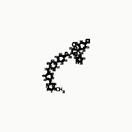 Cc1ccnc(-c2ccc(CN3CCN(c4ccc(OC[C@@H]5CO[C@@](Cn6ccnc6)(c6ccc(Cl)cc6Cl)O5)cc4)CC3)cc2)n1